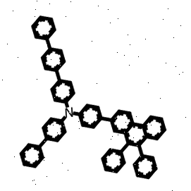 c1ccc(-c2ccc(-c3ccc(N(c4ccc(-c5ccccc5)cc4)c4ccc(-c5ccc6c(c5)c(-c5ccccc5)c(-c5ccccc5)c5ccccc56)cc4)cc3)cc2)cc1